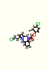 Cc1cc(Cl)ccc1OCC(=O)N1Cc2ccc([CH]CCl)n2Cc2ccccc21